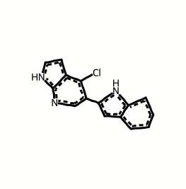 Clc1c(-c2cc3ccccc3[nH]2)cnc2[nH]ccc12